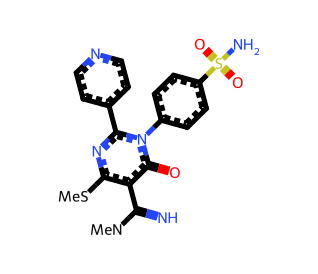 CNC(=N)c1c(SC)nc(-c2ccncc2)n(-c2ccc(S(N)(=O)=O)cc2)c1=O